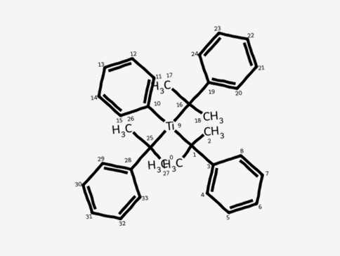 C[C](C)(c1ccccc1)[Ti]([c]1ccccc1)([C](C)(C)c1ccccc1)[C](C)(C)c1ccccc1